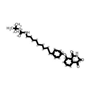 CC(C)(C)OC(=O)NCCCCCCCCCc1ccc(Oc2cccc3c2C(=O)NC(=O)C3=O)cc1